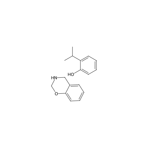 CC(C)c1ccccc1O.c1ccc2c(c1)CNCO2